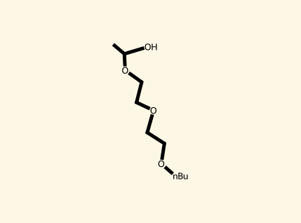 CCCCOCCOCCOC(C)O